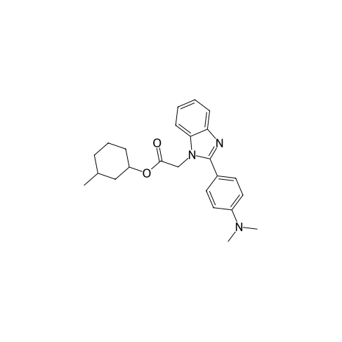 CC1CCCC(OC(=O)Cn2c(-c3ccc(N(C)C)cc3)nc3ccccc32)C1